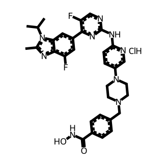 Cc1nc2c(F)cc(-c3nc(Nc4ccc(N5CCN(Cc6ccc(C(=O)NO)cc6)CC5)cn4)ncc3F)cc2n1C(C)C.Cl